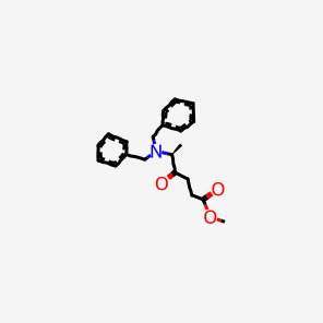 COC(=O)CCC(=O)[C@H](C)N(Cc1ccccc1)Cc1ccccc1